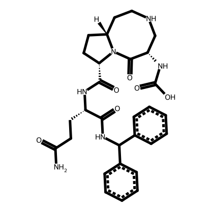 NC(=O)CC[C@H](NC(=O)[C@@H]1CC[C@@H]2CCNC[C@H](NC(=O)O)C(=O)N21)C(=O)NC(c1ccccc1)c1ccccc1